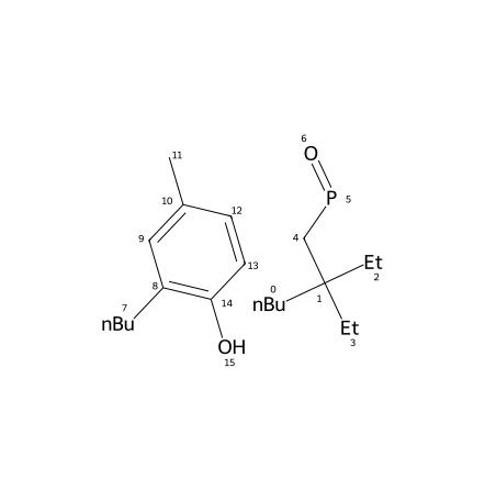 CCCCC(CC)(CC)CP=O.CCCCc1cc(C)ccc1O